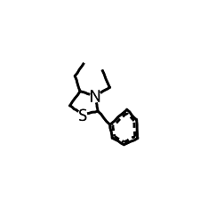 CCC1CSC(c2ccccc2)N1CC